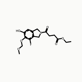 CCOC(=O)CCC(=O)N1Cc2cc(O)c(OCOC)c(F)c2C1